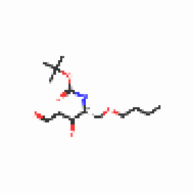 CCCCOC[C@@H](NC(=O)OC(C)(C)C)C(=O)CC=O